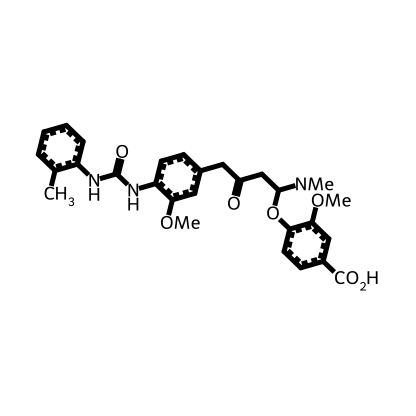 CNC(CC(=O)Cc1ccc(NC(=O)Nc2ccccc2C)c(OC)c1)Oc1ccc(C(=O)O)cc1OC